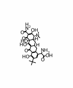 CN(C)[C@@H]1C(O)=C(C(N)=O)C(=O)[C@@]2(O)C(O)=C3C(=O)c4c(O)c(C(C)(C)C)cc(C(N)C(=O)O)c4C[C@@H]3C[C@@H]12